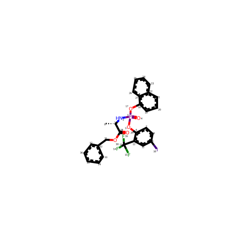 C[C@H](NP(=O)(Oc1ccc(I)cc1C(F)(F)F)Oc1cccc2ccccc12)C(=O)OCc1ccccc1